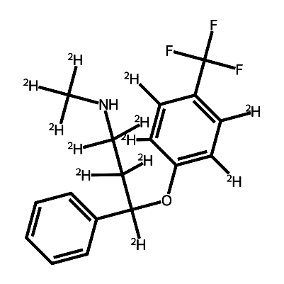 [2H]c1c([2H])c(C(F)(F)F)c([2H])c([2H])c1OC([2H])(c1ccccc1)C([2H])([2H])C([2H])([2H])NC([2H])([2H])[2H]